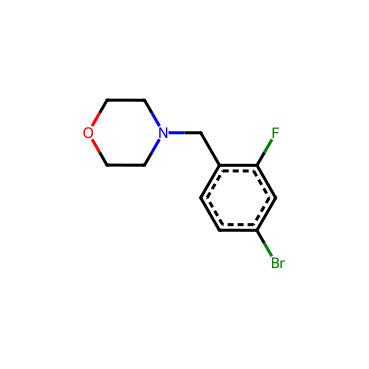 Fc1cc(Br)ccc1CN1CCOCC1